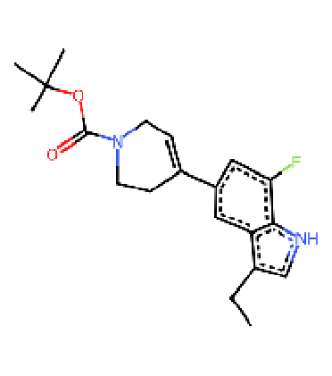 CCc1c[nH]c2c(F)cc(C3=CCN(C(=O)OC(C)(C)C)CC3)cc12